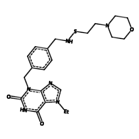 CCn1cnc2c1c(=O)[nH]c(=O)n2Cc1ccc(CNSCCN2CCOCC2)cc1